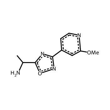 COc1cc(-c2noc(C(C)N)n2)ccn1